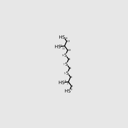 SCC(S)CSCSCSCC(S)CS